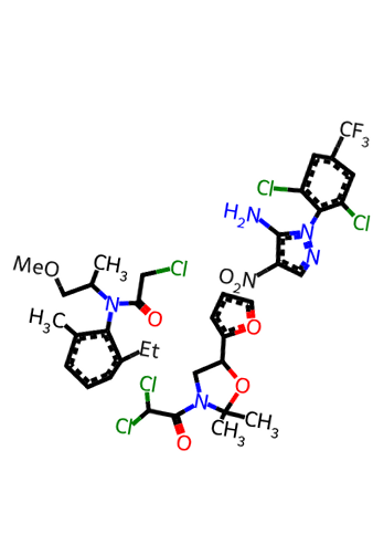 CC1(C)OC(c2ccco2)CN1C(=O)C(Cl)Cl.CCc1cccc(C)c1N(C(=O)CCl)C(C)COC.Nc1c([N+](=O)[O-])cnn1-c1c(Cl)cc(C(F)(F)F)cc1Cl